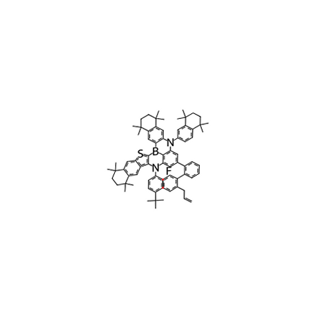 C=CCc1cccc(F)c1-c1ccccc1-c1cc2c3c(c1)N(c1ccc(C(C)(C)C)cc1)c1c(sc4cc5c(cc14)C(C)(C)CCC5(C)C)B3c1cc3c(cc1N2c1ccc2c(c1)C(C)(C)CCC2(C)C)C(C)(C)CCC3(C)C